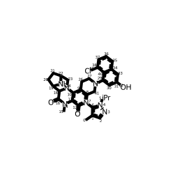 Cc1cnn(C(C)C)c1-n1c2c(c3c(c1=O)N(C)C(=O)C1C4CCC(CN31)N4)CCN(c1cc(O)cc3cccc(Cl)c13)C2